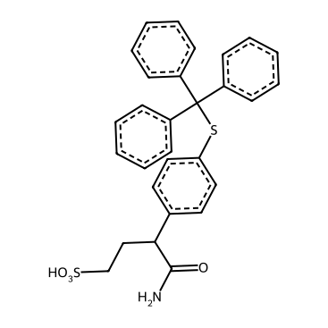 NC(=O)C(CCS(=O)(=O)O)c1ccc(SC(c2ccccc2)(c2ccccc2)c2ccccc2)cc1